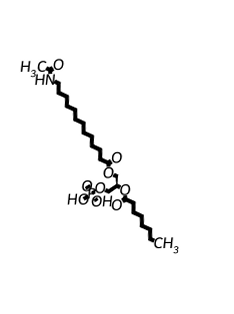 CCCCCCCC(=O)O[C@H](COC(=O)CCCCCCCCCCCCNC(C)=O)COP(=O)(O)O